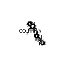 O=C(O)CC1CC(CNC(=O)c2cccc(CNC3=NCCCN3)c2)=CCc2ccccc21